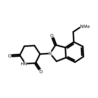 CNCc1cccc2c1C(=O)N(C1CCC(=O)NC1=O)C2